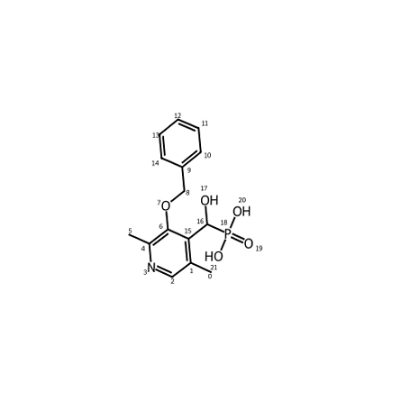 Cc1cnc(C)c(OCc2ccccc2)c1C(O)P(=O)(O)O